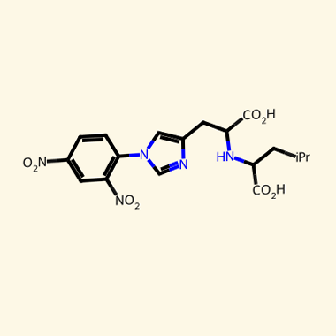 CC(C)CC(NC(Cc1cn(-c2ccc([N+](=O)[O-])cc2[N+](=O)[O-])cn1)C(=O)O)C(=O)O